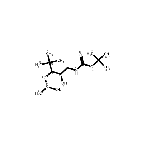 C[SiH](C)OC([C@H](O)CNC(=O)OC(C)(C)C)C(C)(C)C